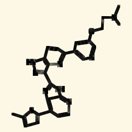 Cc1ccc(-c2ccnc3[nH]c(-c4n[nH]c5ccc(-c6cncc(OCCN(C)C)c6)nc45)nc23)s1